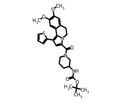 COc1cc2c(cc1OC)-c1c(-c3cccs3)cc(C(=O)N3CCCC(NC(=O)OC(C)(C)C)C3)n1CC2